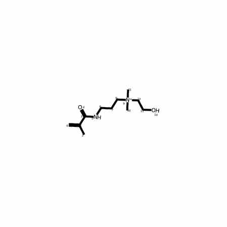 C=C(C)C(=O)NCCC[N+](C)(C)CCO